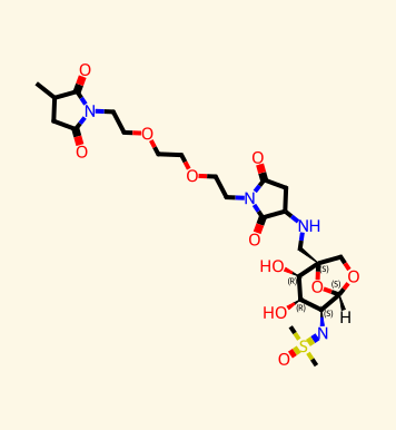 CC1CC(=O)N(CCOCCOCCN2C(=O)CC(NC[C@@]34CO[C@@H](O3)[C@@H](N=S(C)(C)=O)[C@@H](O)[C@H]4O)C2=O)C1=O